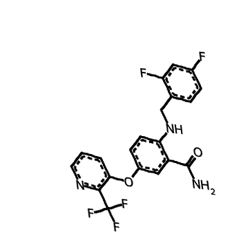 NC(=O)c1cc(Oc2cccnc2C(F)(F)F)ccc1NCc1ccc(F)cc1F